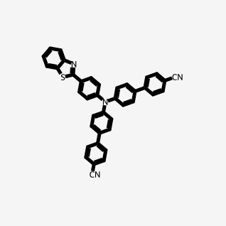 N#Cc1ccc(-c2ccc(N(c3ccc(-c4ccc(C#N)cc4)cc3)c3ccc(-c4nc5ccccc5s4)cc3)cc2)cc1